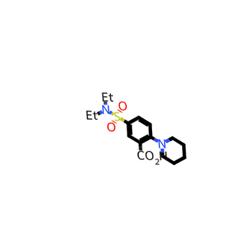 CCN(CC)S(=O)(=O)c1ccc(N2CCCCC2)c(C(=O)O)c1